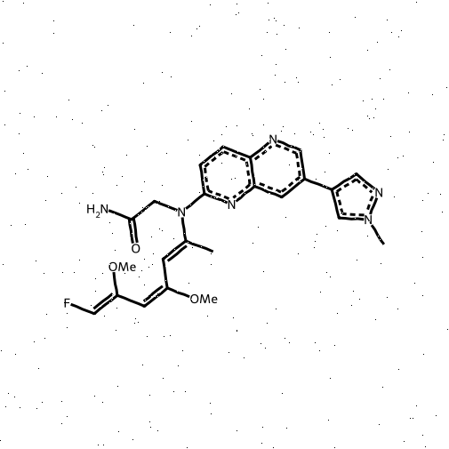 COC(=C\F)/C=C(\C=C(/C)N(CC(N)=O)c1ccc2ncc(-c3cnn(C)c3)cc2n1)OC